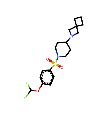 O=S(=O)(c1ccc(OC(F)F)cc1)N1CCC(N2CC3(CCC3)C2)CC1